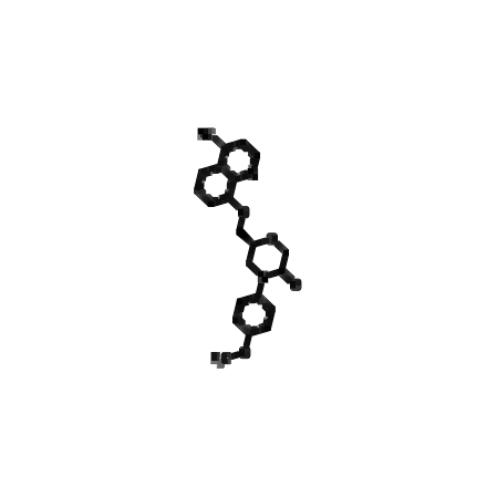 N#Cc1ccnc2c(OC[C@@H]3CN(c4ccc(OC(F)(F)F)cc4)C(=O)CO3)cccc12